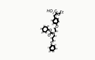 CCOC(Cc1ccc(OCCN(CCCSc2ccccc2)C(=O)OC2CCCCC2)cc1)C(=O)O